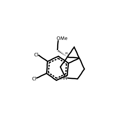 COC[C@@]12CNCCC1(c1ccc(Cl)c(Cl)c1)C2